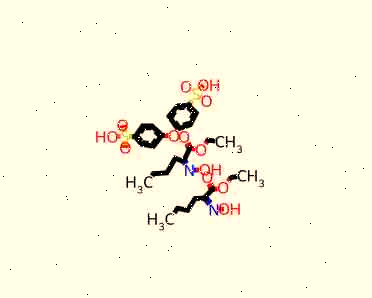 CCCCC(=NO)C(=O)OCC.CCCCC(=NO)C(=O)OCC.O=S(=O)(O)c1ccc(Oc2ccc(S(=O)(=O)O)cc2)cc1